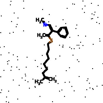 C=N/C=C(\C(=C)SCCCCCCCC(=C)C)c1ccccc1